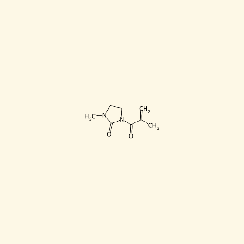 C=C(C)C(=O)N1CCN(C)C1=O